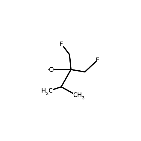 CC(C)C([O])(CF)CF